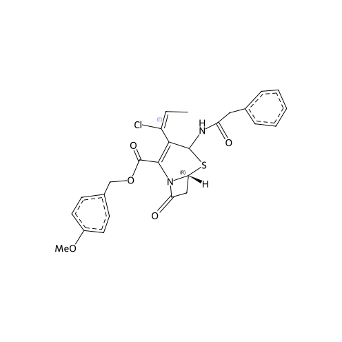 C/C=C(/Cl)C1=C(C(=O)OCc2ccc(OC)cc2)N2C(=O)C[C@H]2SC1NC(=O)Cc1ccccc1